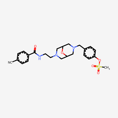 CS(=O)(=O)Oc1ccc(CN2CC3CN(CCNC(=O)c4ccc(C#N)cc4)CC(C2)O3)cc1